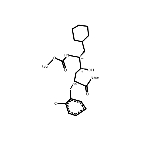 CNC(=O)[C@H](Cc1ccccc1Cl)C[C@H](O)[C@H](CC1CCCCC1)NC(=O)OC(C)(C)C